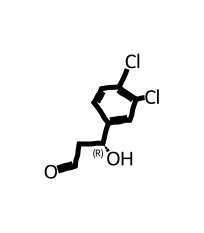 O=CC[C@@H](O)c1ccc(Cl)c(Cl)c1